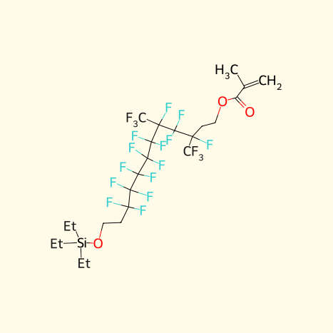 C=C(C)C(=O)OCCC(F)(C(F)(F)F)C(F)(F)C(F)(C(F)(F)F)C(F)(F)C(F)(F)C(F)(F)C(F)(F)C(F)(F)CCO[Si](CC)(CC)CC